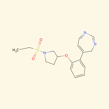 CCS(=O)(=O)N1CCC(Oc2ccccc2C2=CC=NC=NC2)C1